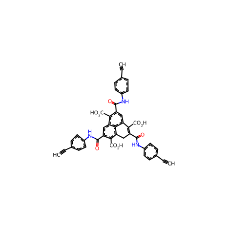 C#Cc1ccc(NC(=O)C2=C(C(=O)O)c3cc(C(=O)Nc4ccc(C#C)cc4)c(C(=O)O)c4cc(C(=O)Nc5ccc(C#C)cc5)c(C(=O)O)c(c34)C2)cc1